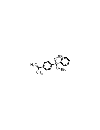 C=C(C)c1ccc([Si](OC(C)(C)C)(OC(C)(C)C)c2ccccc2)cc1